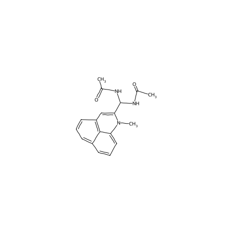 CC(=O)NC(NC(C)=O)C1=Cc2cccc3cccc(c23)N1C